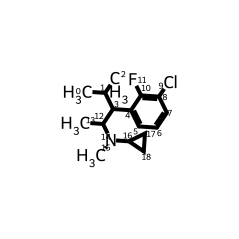 CC(C)C(c1cccc(Cl)c1F)C(C)N(C)C1CC1